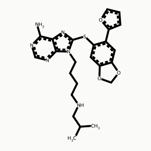 CC(C)CNCCCCn1c(Sc2cc3c(cc2-c2ccco2)OCO3)nc2c(N)ncnc21